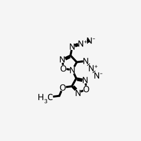 CCOc1nonc1N1ON=C(N=[N+]=[N-])C1N=[N+]=[N-]